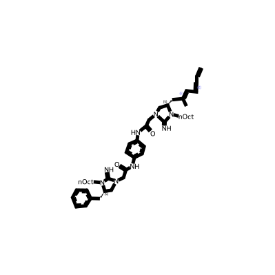 C=C/C=C\C=C(/C)C[C@H]1CN(CC(=O)Nc2ccc(NC(=O)CN3C[C@H](Cc4ccccc4)N(CCCCCCCC)C3=N)cc2)C(=N)N1CCCCCCCC